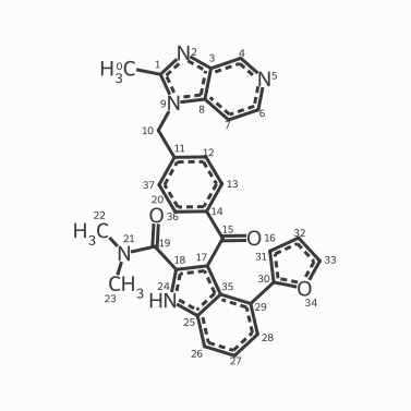 Cc1nc2cnccc2n1Cc1ccc(C(=O)c2c(C(=O)N(C)C)[nH]c3cccc(-c4ccco4)c23)cc1